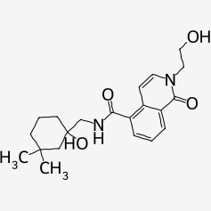 CC1(C)CCCC(O)(CNC(=O)c2cccc3c(=O)n(CCO)ccc23)C1